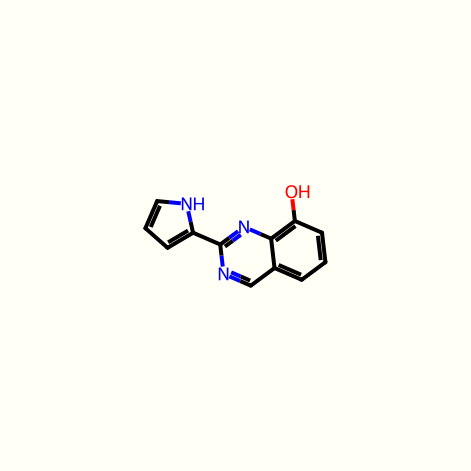 Oc1cccc2cnc(-c3ccc[nH]3)nc12